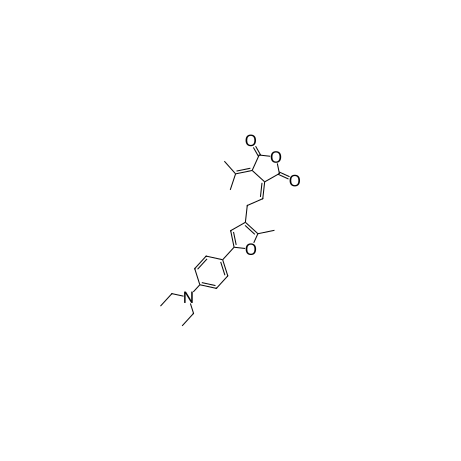 CCN(CC)c1ccc(-c2cc(C/C=C3/C(=O)OC(=O)C3=C(C)C)c(C)o2)cc1